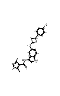 Cc1noc(C)c1C(=O)Nc1c[nH]c2ccc(OC3CC(c4ccc(C(F)(F)F)cc4)C3)cc12